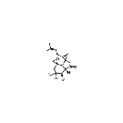 [2H]C1([2H])C[C@]2(CO2)[C@@H](C2(C)O[C@@H]2CC=C(C)C)[C@@]([2H])(OC)C1=O